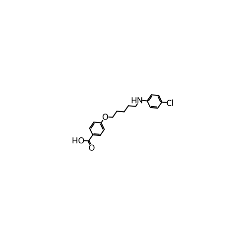 O=C(O)c1ccc(OCCCCCNc2ccc(Cl)cc2)cc1